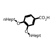 CCCCCCCOc1ccc(C(=O)O)cc1OCCCCCCC